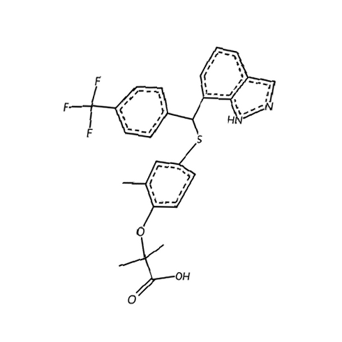 Cc1cc(SC(c2ccc(C(F)(F)F)cc2)c2cccc3cn[nH]c23)ccc1OC(C)(C)C(=O)O